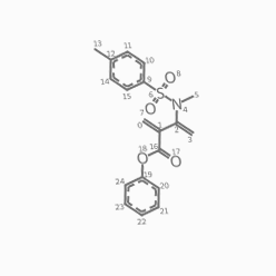 C=C(C(=C)N(C)S(=O)(=O)c1ccc(C)cc1)C(=O)Oc1ccccc1